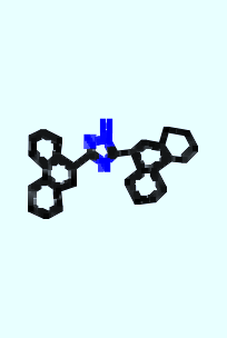 C1=Cc2c(cc(-c3nc(-c4cc5ccccc5c5ccccc45)n[nH]3)c3ccccc23)CC1